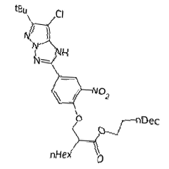 CCCCCCCCCCCCOC(=O)C(CCCCCC)COc1ccc(-c2nn3nc(C(C)(C)C)c(Cl)c3[nH]2)cc1[N+](=O)[O-]